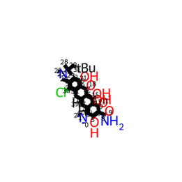 CN(C)[C@@H]1C(O)=C(C(N)=O)C(=O)[C@@]2(O)C(O)=C3C(=O)c4c(O)cc(CN(C)C(C)(C)CC(C)(C)C)c(Cl)c4C[C@H]3C[C@@H]12